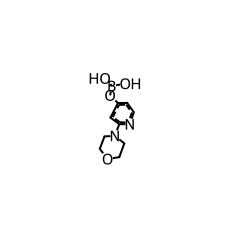 OB(O)Oc1ccnc(N2CCOCC2)c1